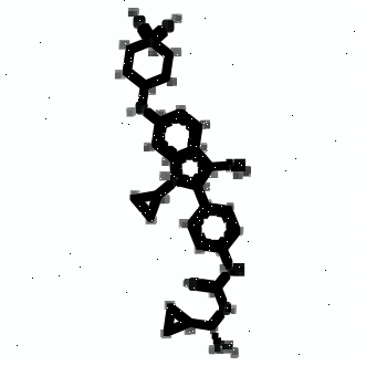 C[C@@H](OC(=O)Nc1ccc(-c2c(N)c3ccc(OC4CCS(=O)(=O)CC4)cc3n2C2CC2)cc1)C1CC1